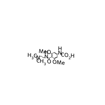 COc1cc(NC(=O)O)cc(OC)c1C(=O)NCCN(C)C